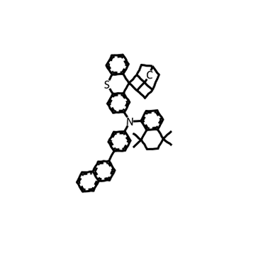 CC1(C)CCC(C)(C)c2c(N(c3ccc(-c4ccc5ccccc5c4)cc3)c3ccc4c(c3)C3(c5ccccc5S4)C4CC5CC6CC3C64C5)cccc21